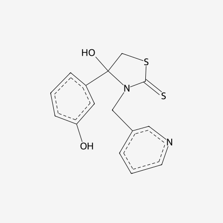 Oc1cccc(C2(O)CSC(=S)N2Cc2cccnc2)c1